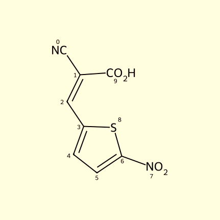 N#CC(=Cc1ccc([N+](=O)[O-])s1)C(=O)O